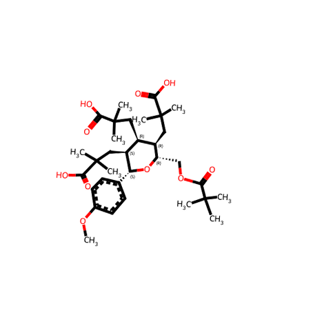 COc1ccc([C@H]2O[C@@H](COC(=O)C(C)(C)C)[C@H](CC(C)(C)C(=O)O)[C@H](CC(C)(C)C(=O)O)[C@@H]2CC(C)(C)C(=O)O)cc1